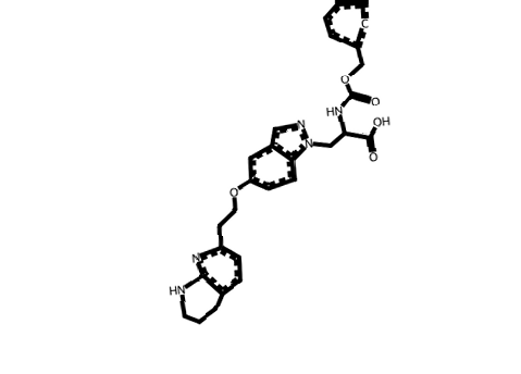 O=C(NC(Cn1ncc2cc(OCCc3ccc4c(n3)NCCC4)ccc21)C(=O)O)OCc1ccccc1